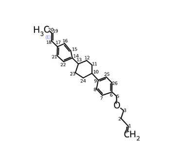 C=CCCOCc1ccc(C2CCC(c3ccc(/C=C/C)cc3)CC2)cc1